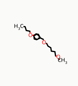 CCCCOc1ccc(COCCCCCCOC)cc1